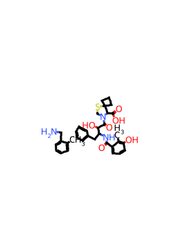 Cc1c(O)cccc1C(=O)NC(Cc1ccccc1)C(O)C(=O)N1CSC2(CCC2)C1C(=O)O.Cc1ccccc1CN